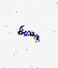 CCN1Cc2cccc(-c3cn(Cc4ccc(-c5nnc(C(F)F)o5)cn4)nn3)c2C1